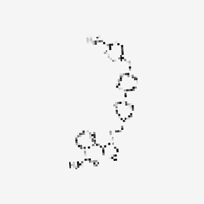 CN1CCN(Cc2ccc(-c3ccc(CO[C@@H]4COC[C@H]4c4ncccc4C(N)=O)cc3)cc2)CC1